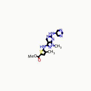 COC(=O)c1cc(C)c(Nc2nn(C)c3nc(Nc4cncnc4)ncc23)s1